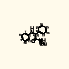 CC(C)(C)NC(=O)[C@@H](Nc1ccccc1)c1ccccc1